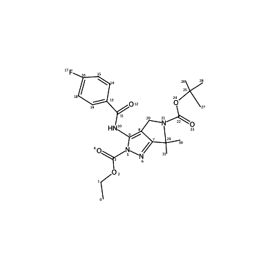 CCOC(=O)n1nc2c(c1NC(=O)c1ccc(F)cc1)CN(C(=O)OC(C)(C)C)C2(C)C